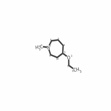 CCOC1CCCN(C)CC1